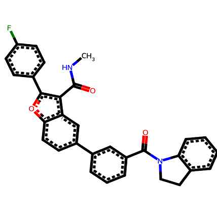 CNC(=O)c1c(-c2ccc(F)cc2)oc2ccc(-c3cccc(C(=O)N4CCc5ccccc54)c3)cc12